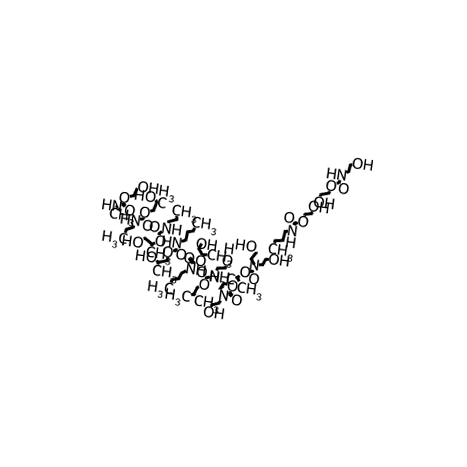 CC(C)COC(=O)NCCO.CC(C)OC(=O)N(CCO)CCO.CCCCNC(=O)OC(C)CO.CCCCNC(=O)OCC(C)O.CCCCNC(=O)OCCO.CCCNC(=O)OC(C)CO.CCCNC(=O)OCC(C)O.CNC(=O)OCCO.O=C(NCCO)OCCO.O=C1OCCN1CCO